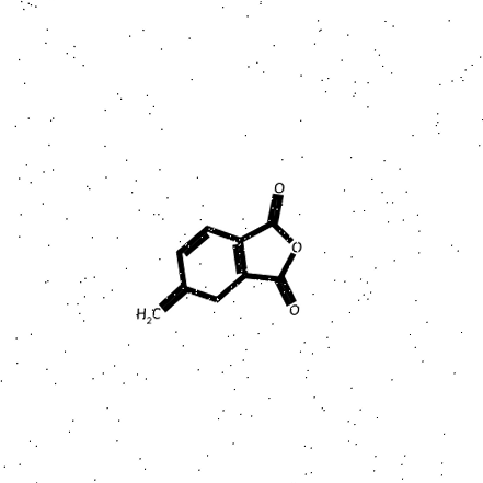 C=C1C=CC2=C(C1)C(=O)OC2=O